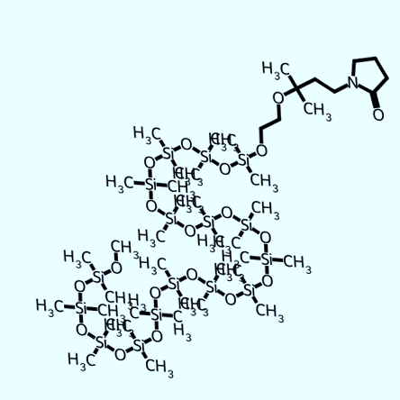 CO[Si](C)(C)O[Si](C)(C)O[Si](C)(C)O[Si](C)(C)O[Si](C)(C)O[Si](C)(C)O[Si](C)(C)O[Si](C)(C)O[Si](C)(C)O[Si](C)(C)O[Si](C)(C)O[Si](C)(C)O[Si](C)(C)O[Si](C)(C)O[Si](C)(C)O[Si](C)(C)OCCOC(C)(C)CCN1CCCC1=O